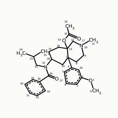 COc1cccc(C23CCN(C)CC2(OC(C)=O)CCC(N(CC(C)C)C(=O)c2ccccc2)C3)c1